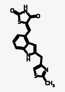 Cc1nc(Cc2cc3c(C=C4SC(=O)NC4=O)cccc3[nH]2)cs1